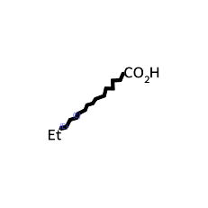 CC/C=C/C/C=C/CCCCCCCCCCC(=O)O